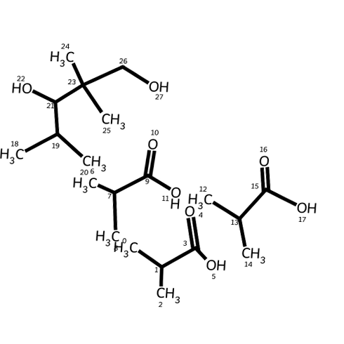 CC(C)C(=O)O.CC(C)C(=O)O.CC(C)C(=O)O.CC(C)C(O)C(C)(C)CO